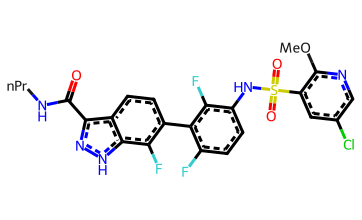 CCCNC(=O)c1n[nH]c2c(F)c(-c3c(F)ccc(NS(=O)(=O)c4cc(Cl)cnc4OC)c3F)ccc12